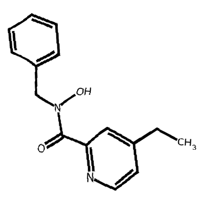 CCc1ccnc(C(=O)N(O)Cc2ccccc2)c1